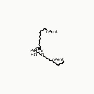 CCCCC/C=C\C/C=C\CCCCCCCCOCC(OCCCCCCCC/C=C\C/C=C\CCCCC)C(O)N(C)C(C)C